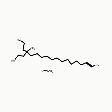 CCCCCCCC/C=C/CCCCCCCCCCCC(N)(CCO)CCO.CCl